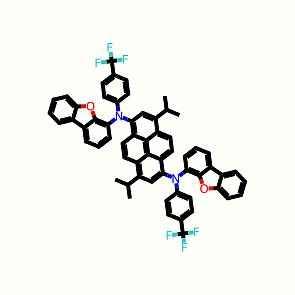 CC(C)c1cc(N(c2ccc(C(F)(F)F)cc2)c2cccc3c2oc2ccccc23)c2ccc3c(C(C)C)cc(N(c4ccc(C(F)(F)F)cc4)c4cccc5c4oc4ccccc45)c4ccc1c2c34